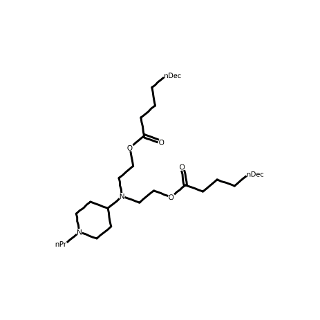 [CH2]CCN1CCC(N(CCOC(=O)CCCCCCCCCCCCC)CCOC(=O)CCCCCCCCCCCCC)CC1